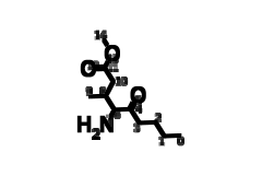 CCCCC(=O)C(N)C(C)CC(=O)OC